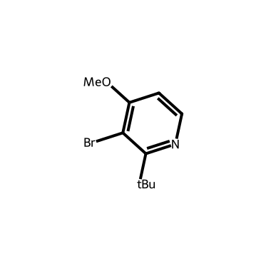 COc1ccnc(C(C)(C)C)c1Br